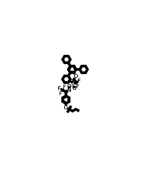 CCCC(C)(C)Oc1ccc(/C(=N/OS(=O)(=O)C(F)(F)COc2c(C3CCCCC3)cc(C3CCCCC3)cc2C2CCCCC2)C(F)(F)F)cc1